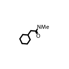 CNC(=O)CC1CCCCC1